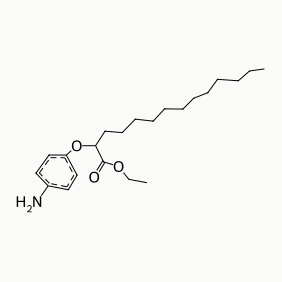 CCCCCCCCCCCCC(Oc1ccc(N)cc1)C(=O)OCC